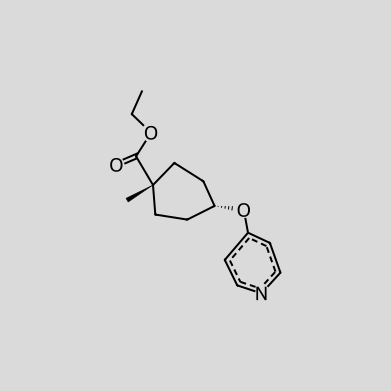 CCOC(=O)[C@]1(C)CC[C@H](Oc2ccncc2)CC1